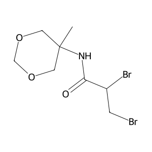 CC1(NC(=O)C(Br)CBr)COCOC1